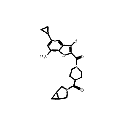 Cc1cc(C2CC2)cc2c(Cl)c(C(=O)N3CCC(C(=O)N4CC5CC5C4)CC3)oc12